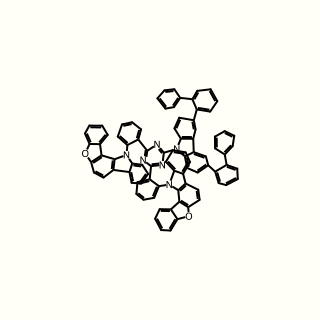 c1ccc(-c2ccccc2-c2ccc3c(c2)c2cc(-c4ccccc4-c4ccccc4)ccc2n3-c2nc(-c3ccccc3-n3c4ccccc4c4ccc5oc6ccccc6c5c43)nc(-c3ccccc3-n3c4ccccc4c4ccc5oc6ccccc6c5c43)n2)cc1